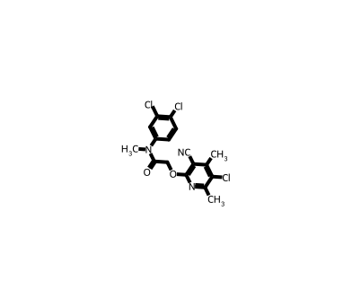 Cc1nc(OCC(=O)N(C)c2ccc(Cl)c(Cl)c2)c(C#N)c(C)c1Cl